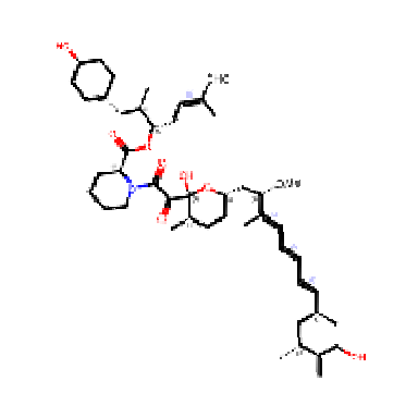 C=C(CO)[C@H](C)C[C@H](C)/C=C/C=C/C=C(\C)[C@H](C[C@@H]1CC[C@@H](C)[C@](O)(C(=O)C(=O)N2CCCC[C@H]2C(=O)O[C@@H](C/C=C(\C)C=O)[C@H](C)C[C@H]2CC[C@H](O)CC2)O1)OC